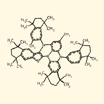 Cc1cc2c3c(c1)N(c1cc4c(cc1C)C(C)(C)CCC4(C)C)c1c(sc4cc5c(cc14)C(C)(C)CCC5(C)C)B3c1cc3c(cc1N2c1ccc2c(c1)C(C)(C)CCC2(C)C)C(C)(C)CCC3(C)C